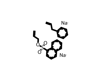 C=CCOS(=O)(=O)c1cccc2ccccc12.C=CCc1ccccc1.[Na].[Na]